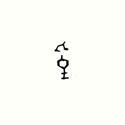 BC(C)(C)C(C)(C)c1ccc(N2C(=O)CC(C(C)C)C2=O)cc1